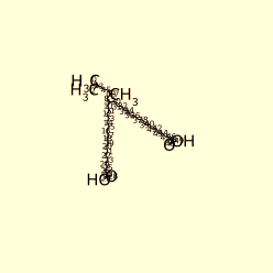 CC(C)=CCC[C@@H](C)CC(CCCCCCCCCCCCCCCCCC(=O)O)CCCCCCCCCCCCCCCCCC(=O)O